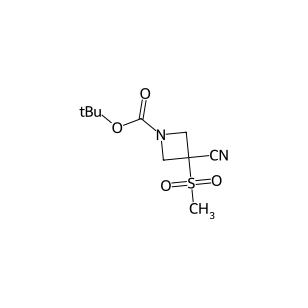 CC(C)(C)OC(=O)N1CC(C#N)(S(C)(=O)=O)C1